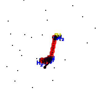 CC(C)C[C@H](NC(=O)[C@@H]1CCCN1C(=O)CCOCCOCCOCCOCCOCCOCCOCCOCCNC(=O)[C@@H](N)CS)C(=O)N[C@@H](Cc1cncn1CCCCCCCCc1ccccc1)C(=O)N[C@@H](C)C(=O)N[C@H](C(N)=O)[C@@H](C)CP(=O)(O)O